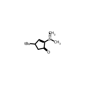 C[SiH](C)C1=CC(C(C)(C)C)CC1=O